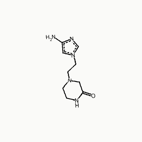 Nc1cn(CCN2CCNC(=O)C2)cn1